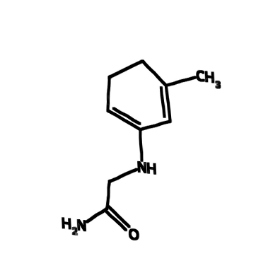 CC1=CC(NCC(N)=O)=CCC1